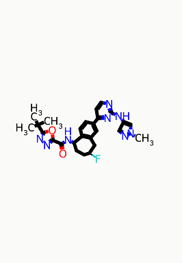 Cn1cc(Nc2nccc(-c3ccc4c(c3)C[C@@H](F)CCC4NC(=O)c3nnc(C(C)(C)C)o3)n2)cn1